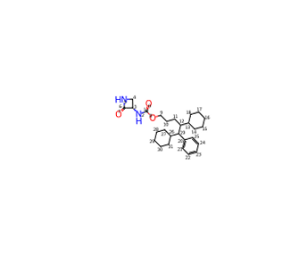 O=C(N[C@@H]1CNC1=O)OCCCC(C1CCCCC1)C(c1ccccc1)C1CCCCC1